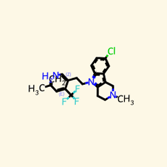 C=C(C)/C=C(\C(=C/N)CCn1c2c(c3cc(Cl)ccc31)CN(C)CC2)C(F)(F)F